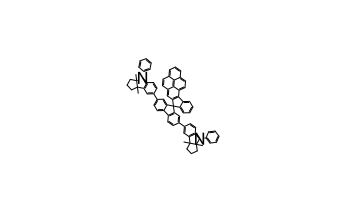 CC12CCCC1(C)N(c1ccccc1)c1ccc(-c3ccc4c(c3)C3(c5cc(-c6ccc7c(c6)C6(C)CCCC6(C)N7c6ccccc6)ccc5-4)c4ccccc4-c4c3cc3ccc5cccc6ccc4c3c56)cc12